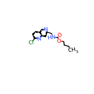 CCCCOC(=O)NCc1cc2nc(Cl)ccc2cn1